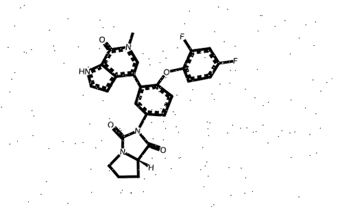 Cn1cc(-c2cc(N3C(=O)[C@@H]4CCCN4C3=O)ccc2Oc2ccc(F)cc2F)c2cc[nH]c2c1=O